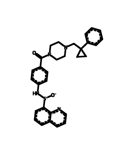 O=C(c1ccc(N[S+]([O-])c2cccc3cccnc23)cc1)N1CCN(CC2(c3ccccc3)CC2)CC1